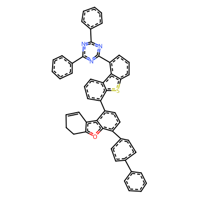 C1=Cc2c(oc3c(-c4ccc(-c5ccccc5)cc4)ccc(-c4cccc5c4sc4cccc(-c6nc(-c7ccccc7)nc(-c7ccccc7)n6)c45)c23)CC1